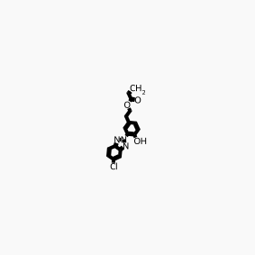 C=CC(=O)OCCc1ccc(O)c(-n2nc3ccc(Cl)cc3n2)c1